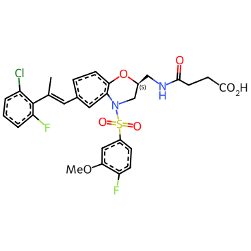 COc1cc(S(=O)(=O)N2C[C@H](CNC(=O)CCC(=O)O)Oc3ccc(C=C(C)c4c(F)cccc4Cl)cc32)ccc1F